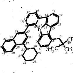 CC(C)(Cc1cccc2c1c1cccc3c4ccnc(-c5cc(C6CCCCC6)c6ccccc6c5)c4n2c31)C(F)(F)F